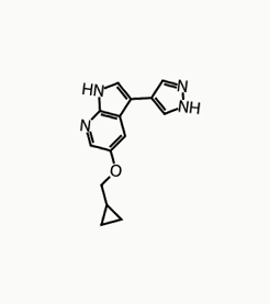 c1nc2[nH]cc(-c3cn[nH]c3)c2cc1OCC1CC1